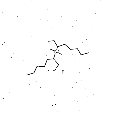 CCCCCC(CC)[N+](C)(C)C(CC)CCCCC.[F-]